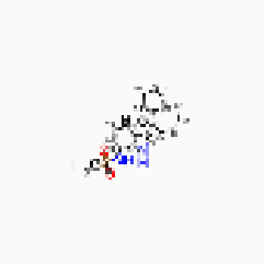 CC1(c2c[nH]c3c(NS(C)(=O)=O)cccc23)CCCCc2ccccc21